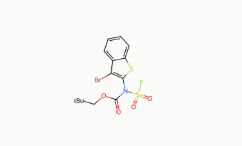 CC(C)(C)COC(=O)N(c1sc2ccccc2c1Br)S(=O)(=O)F